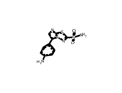 Nc1ccc(-c2cnc3sc(S(N)(=O)=O)nn23)cc1